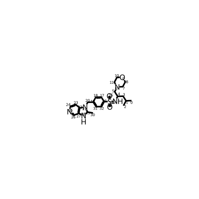 CC(C)CC(CN1CCOCC1)NS(=O)(=O)c1ccc(CN2c3ccncc3NC2C)cc1